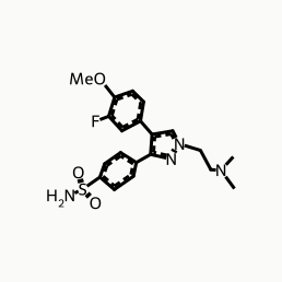 COc1ccc(-c2cn(CCN(C)C)nc2-c2ccc(S(N)(=O)=O)cc2)cc1F